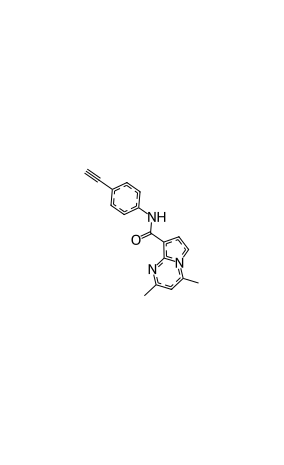 C#Cc1ccc(NC(=O)c2ccn3c(C)cc(C)nc23)cc1